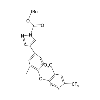 Cc1cc(-c2cnn(C(=O)OC(C)(C)C)c2)ccc1Oc1nnc(C(F)(F)F)cc1C(=O)O